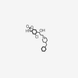 O=c1[nH]c2cc(Cl)c(C(O)CCN3CCC(Cc4ccccc4)CC3)cc2o1